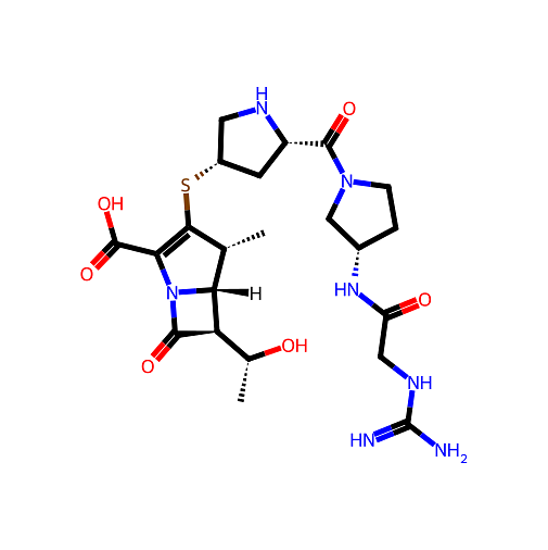 C[C@@H](O)[C@H]1C(=O)N2C(C(=O)O)=C(S[C@@H]3CN[C@H](C(=O)N4CC[C@H](NC(=O)CNC(=N)N)C4)C3)[C@H](C)[C@H]12